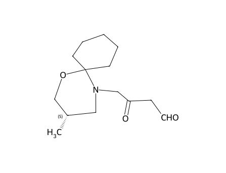 C[C@@H]1COC2(CCCCC2)N(CC(=O)CC=O)C1